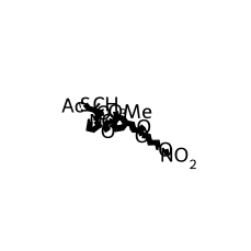 COc1cc(/C=C/C(=O)OCCCCO[N+](=O)[O-])ccc1OC(=O)[C@@H]1CCCN1C(=O)[C@H](C)CSC(C)=O